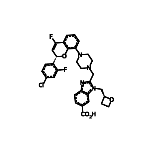 O=C(O)c1ccc2nc(CN3CCN(c4cccc5c4O[C@H](c4ccc(Cl)cc4F)C=C5F)CC3)n(C[C@@H]3CCO3)c2c1